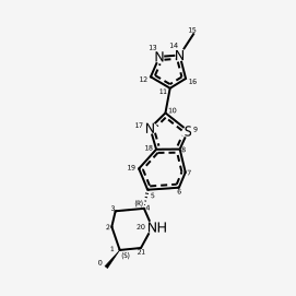 C[C@H]1CC[C@H](c2ccc3sc(-c4cnn(C)c4)nc3c2)NC1